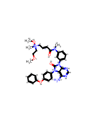 COCC[N+](C)(C/C=C/C(=O)N(C)c1cccc(-n2c(=O)n(-c3ccc(Oc4ccccc4)cc3)c3c(N)ncnc32)c1)OC